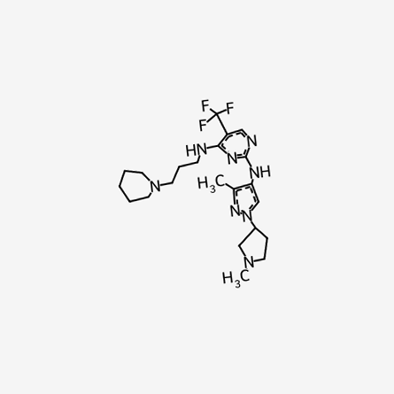 Cc1nn(C2CCN(C)C2)cc1Nc1ncc(C(F)(F)F)c(NCCCN2CCCCC2)n1